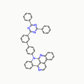 c1ccc(-c2nc(-c3ccccc3)nc(-c3cccc(-c4ccc(N5c6ccccc6-c6nccc7c6c5nc5ccccc57)cc4)c3)n2)cc1